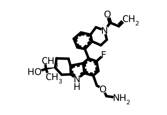 C=CC(=O)N1CCc2c(cccc2-c2c(F)cc(COCN)c3[nH]c4c(c23)CC[C@H](C(C)(C)O)C4)C1